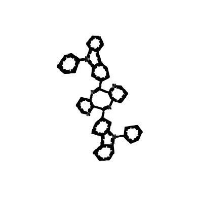 c1ccc(-n2c3ccccc3c3ccc(/C4=N/c5cccnc5/C(c5ccc6c7ccccc7n(-c7ccccc7)c6c5)=N\c5cccnc54)cc32)cc1